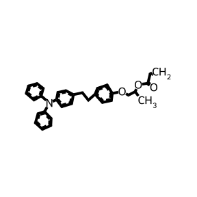 C=CC(=O)OC(C)COc1ccc(CCc2ccc(N(c3ccccc3)c3ccccc3)cc2)cc1